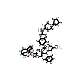 CC(C)CN(C[C@@H](O)[C@H](Cc1ccccc1)NC(=O)OC1C2CCC3CC1OC3OC2)S(=O)(=O)c1ccc2nc(NC3CCN(C4CCCC4)CC3)sc2c1